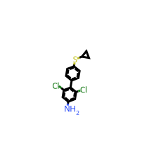 Nc1cc(Cl)c(-c2ccc(SC3CC3)cc2)c(Cl)c1